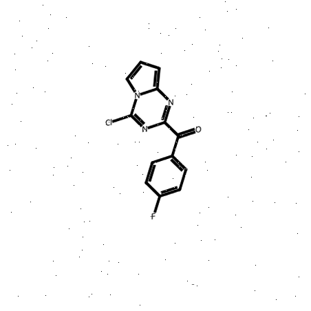 O=C(c1ccc(F)cc1)c1nc(Cl)n2cccc2n1